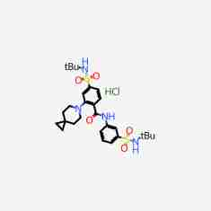 CC(C)(C)NS(=O)(=O)c1cccc(NC(=O)c2ccc(S(=O)(=O)NC(C)(C)C)cc2N2CCC3(CC2)CC3)c1.Cl